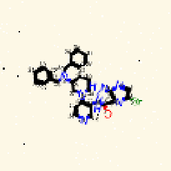 Nc1ncc(Br)nc1C(=O)Nc1cnccc1N1CCCC(N(Cc2ccccc2)Cc2ccccc2)C1